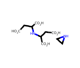 C1CN1.O=C(O)CC(NC(CC(=O)O)C(=O)O)C(=O)O